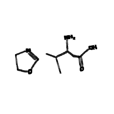 C1=NCCO1.CC(C)C(N)C(=O)O